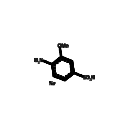 COc1cc(S(=O)(=O)O)ccc1[N+](=O)[O-].[Na]